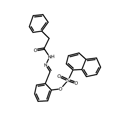 O=C(Cc1ccccc1)N/N=C/c1ccccc1OS(=O)(=O)c1cccc2ccccc12